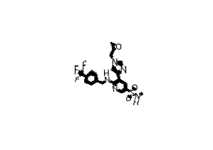 CNS(=O)(=O)c1cnc(NCc2ccc(C(F)(F)F)cc2)c(-c2cn(CC3CO3)cn2)c1